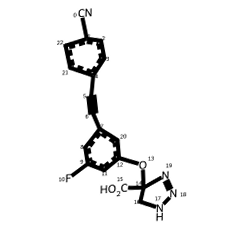 N#Cc1ccc(C#Cc2cc(F)cc(OC3(C(=O)O)CNN=N3)c2)cc1